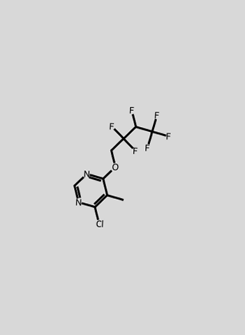 Cc1c(Cl)ncnc1OCC(F)(F)C(F)C(F)(F)F